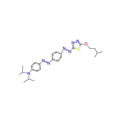 CC(C)CCOc1nnc(/N=N/c2ccc(/N=N/c3ccc(N(C(C)C)C(C)C)cc3)cc2)s1